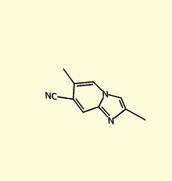 Cc1cn2cc(C)c(C#N)cc2n1